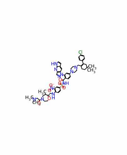 CC1CN(C(=O)CN(C)C)CCO[C@@H]1CNc1ccc(S(=O)(=O)NC(=O)c2ccc(N3CCN(CC4=C(c5ccc(Cl)cc5)CC(C)(C)CC4)CC3)cc2-n2ncc3nc4[nH]ccc4cc32)cc1[N+](=O)[O-]